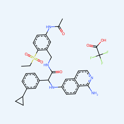 CCS(=O)(=O)c1ccc(NC(C)=O)cc1CNC(=O)C(Nc1ccc2c(N)nccc2c1)c1cccc(C2CC2)c1.O=C(O)C(F)(F)F